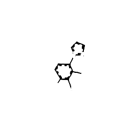 Oc1ccc(-n2cccn2)c(F)c1F